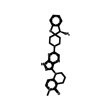 Cn1ccc2c(c1=O)CCCN2c1n[nH]c2nc(N3CCC4(CC3)Oc3ccccc3[C@H]4N)cnc12